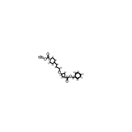 CC(C)(C)OC(=O)N1CCC(CCCOC2CN(C(=O)OCc3ccccc3)C2)CC1